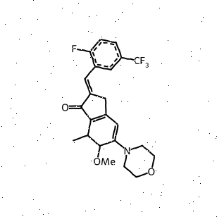 COC1C(N2CCOCC2)=CC2=C(C(=O)/C(=C/c3cc(C(F)(F)F)ccc3F)C2)C1C